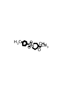 CCC1(C)CCN(S(=O)(=O)c2ccc(C)cc2)CCC1=O